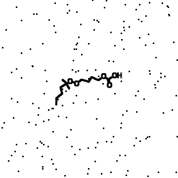 CCCCC(C)(C)OOCCCCOC(=O)O